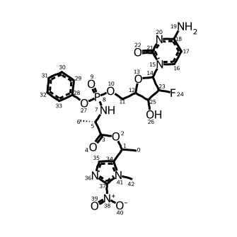 CC(OC(=O)[C@H](C)NP(=O)(OCC1OC(n2ccc(N)nc2=O)C(F)C1O)Oc1ccccc1)c1cnc([N+](=O)[O-])n1C